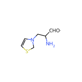 NC([C]=O)CN1C=CSC1